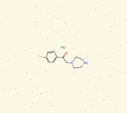 Cl.O=C(CN1CCNCC1)c1ccc(F)cc1